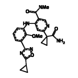 CNC(=O)c1cnc(C2(C(N)=O)CC2)cc1Nc1cccc(-c2noc(C3CC3)n2)c1OC